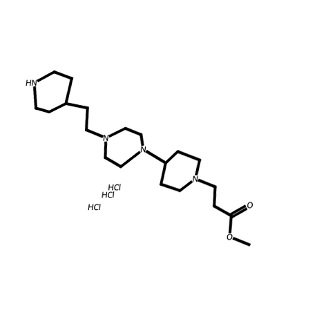 COC(=O)CCN1CCC(N2CCN(CCC3CCNCC3)CC2)CC1.Cl.Cl.Cl